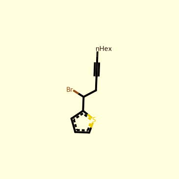 CCCCCCC#CCC(Br)c1cccs1